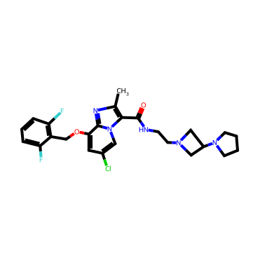 Cc1nc2c(OCc3c(F)cccc3F)cc(Cl)cn2c1C(=O)NCCN1CC(N2CCCC2)C1